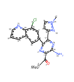 COC(=O)c1nc(-c2cc(Cl)c3ncccc3c2)c(-c2ccn(C)n2)nc1N